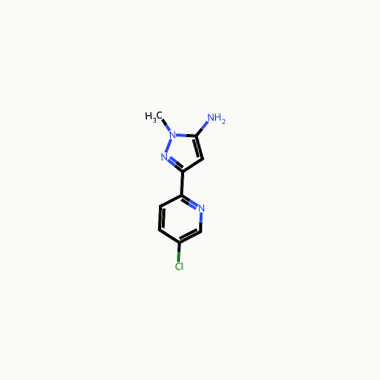 Cn1nc(-c2ccc(Cl)cn2)cc1N